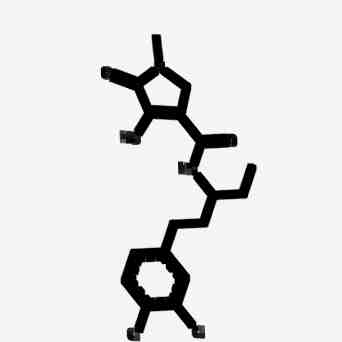 CCC(CCc1ccc(Cl)c(Cl)c1)NC(=O)C1=C(O)C(=O)N(C)C1